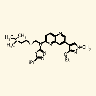 CCOc1nn(C)cc1-c1cnc2ccc(N(COCC[Si](C)(C)C)c3nnc(C(C)C)s3)nc2c1